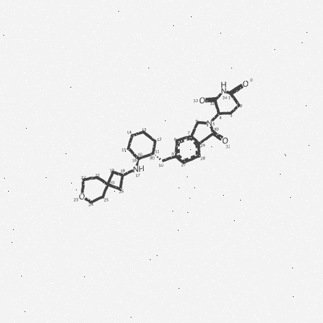 O=C1CCC(N2Cc3cc(C[C@H]4CCCC[C@@H]4NC4CC5(CCOCC5)C4)ccc3C2=O)C(=O)N1